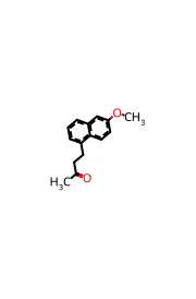 COc1ccc2c(CCC(C)=O)cccc2c1